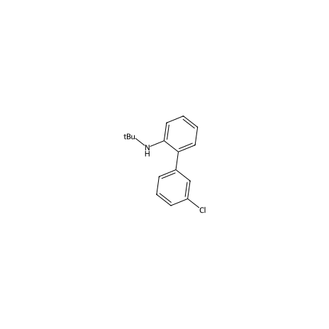 CC(C)(C)Nc1ccccc1-c1cccc(Cl)c1